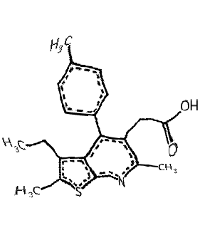 CCc1c(C)sc2nc(C)c(CC(=O)O)c(-c3ccc(C)cc3)c12